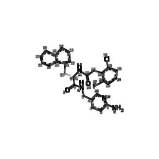 Nc1ccc(CNC(=O)[C@H](Cc2cccc3ccccc23)NC(=O)Cc2c(F)cccc2Cl)cn1